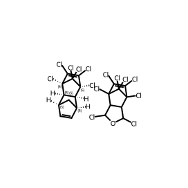 ClC1=C(Cl)C2(Cl)C3C(Cl)OC(Cl)C3C1(Cl)C2(Cl)Cl.ClC1=C(Cl)[C@]2(Cl)[C@H]3[C@H]([C@H]4C=C[C@@H]3C4)[C@@]1(Cl)C2(Cl)Cl